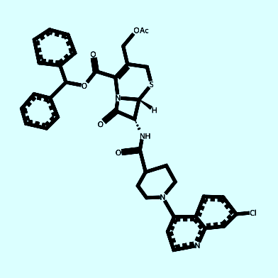 CC(=O)OCC1=C(C(=O)OC(c2ccccc2)c2ccccc2)N2C(=O)[C@@H](NC(=O)C3CCN(c4ccnc5cc(Cl)ccc45)CC3)[C@H]2SC1